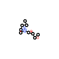 c1ccc(-c2nc(-c3ccc4c(c3)oc3ccc(-c5cccc6oc7ccccc7c56)cc34)nc(-n3c4cccc(-c5ccccc5)c4c4cccc(-c5ccccc5)c43)n2)cc1